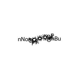 CCCCCCCCCOc1ccc(-c2ccc([C@H]3CC[C@H](OC(=O)[C@@H](F)CCCC)CC3)cc2)c(F)c1F